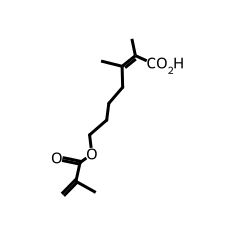 C=C(C)C(=O)OCCCCC(C)=C(C)C(=O)O